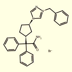 NC(=O)C(c1ccccc1)(c1ccccc1)[C@H]1CC[C@@H](n2cn[n+](Cc3ccccc3)c2)C1.[Br-]